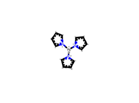 c1cc[n]([PbH]([n]2cccc2)[n]2cccc2)c1